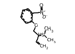 C=CC(COc1ccccc1[N+](=O)[O-])[SiH](C)C